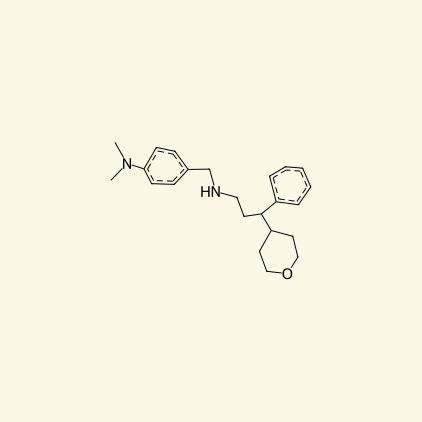 CN(C)c1ccc(CNCCC(c2ccccc2)C2CCOCC2)cc1